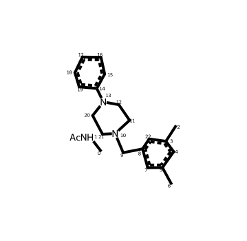 CNC(C)=O.Cc1cc(C)cc(CN2CCN(c3ccccc3)CC2)c1